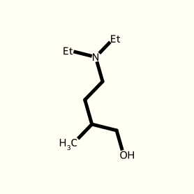 CCN(CC)CCC(C)CO